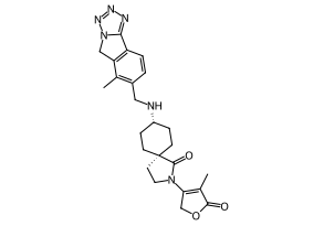 CC1=C(N2CC[C@]3(CC[C@@H](NCc4ccc5c(c4C)Cn4nnnc4-5)CC3)C2=O)COC1=O